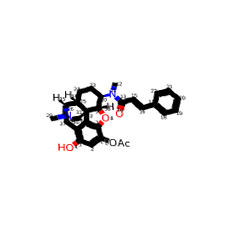 CC(=O)Oc1cc(O)c2c3c1O[C@H]1[C@H](N(C)C(=O)C=Cc4ccccc4)CC[C@H]4[C@@H](C2)N(C)CC[C@@]341